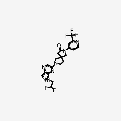 O=C1CC2(CCN(c3cnc4cnn(CC(F)F)c4n3)C2)CN1c1ccnc(C(F)(F)F)c1